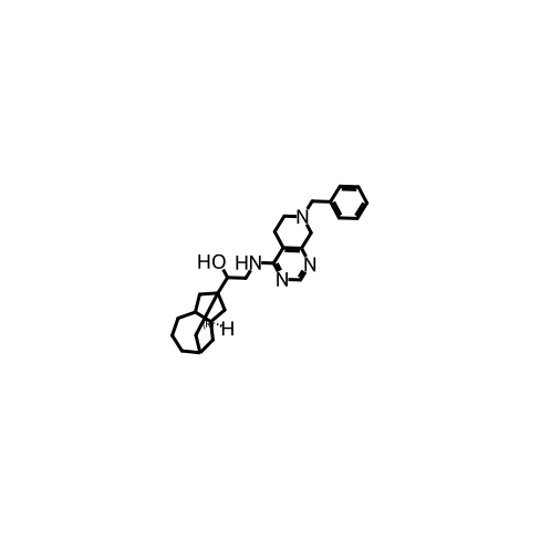 OC(CNc1ncnc2c1CCN(Cc1ccccc1)C2)C12CC3CCCC(C1)[C@H](C3)C2